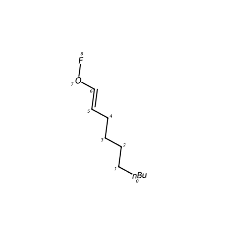 CCCCCCCCC=COF